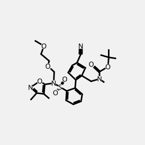 COCCOCN(c1onc(C)c1C)S(=O)(=O)c1ccccc1-c1ccc(C#N)cc1CN(C)C(=O)OC(C)(C)C